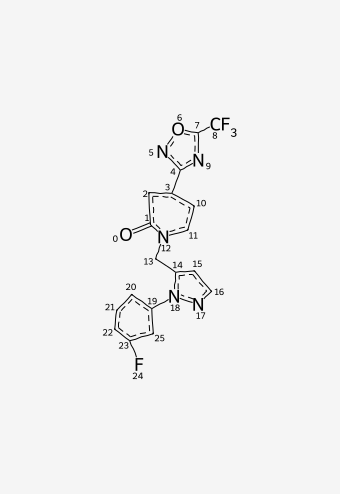 O=c1cc(-c2noc(C(F)(F)F)n2)ccn1Cc1ccnn1-c1cccc(F)c1